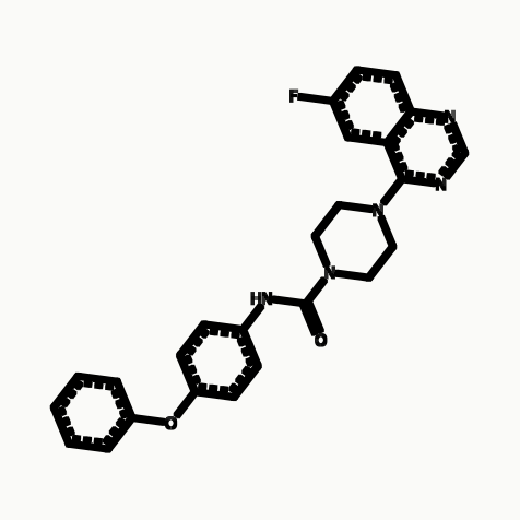 O=C(Nc1ccc(Oc2ccccc2)cc1)N1CCN(c2ncnc3ccc(F)cc23)CC1